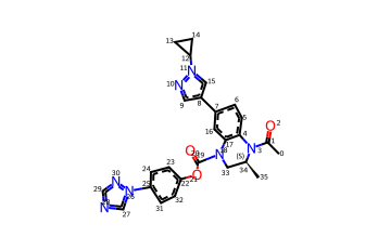 CC(=O)N1c2ccc(-c3cnn(C4CC4)c3)cc2N(C(=O)Oc2ccc(-n3cncn3)cc2)C[C@@H]1C